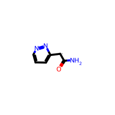 NC(=O)[CH]c1cccnn1